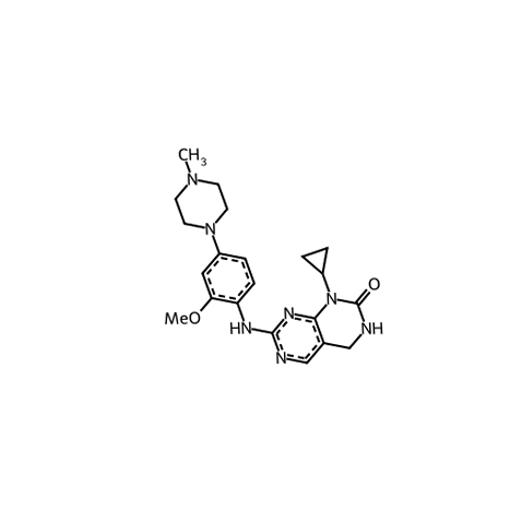 COc1cc(N2CCN(C)CC2)ccc1Nc1ncc2c(n1)N(C1CC1)C(=O)NC2